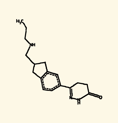 CCCNCC1Cc2ccc(C3=NNC(=O)CC3)cc2C1